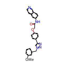 COc1cccc(Cn2cc(-c3ccc(OCC(=O)Nc4ccc5cnccc5c4)cc3)nn2)c1